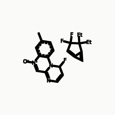 CCC1(CC)C2=CC2=CC1(F)F.Cc1ccc2c(c1)[N+]([O-])=CC1=NC=CC(F)N12